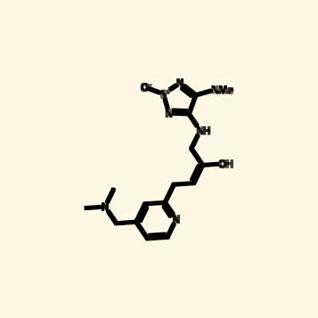 CNc1n[s+]([O-])nc1NC/C(O)=C\Cc1cc(CN(C)C)ccn1